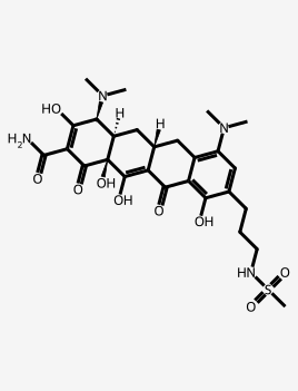 CN(C)c1cc(CCCNS(C)(=O)=O)c(O)c2c1C[C@H]1C[C@@H]3[C@H](N(C)C)C(O)=C(C(N)=O)C(=O)[C@@]3(O)C(O)=C1C2=O